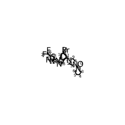 O=C(N1CCCC1)N1CCN(c2cc(Br)cc3c2cnn3-c2nnc(C(F)F)s2)CC1